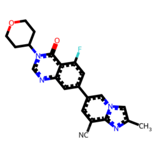 Cc1cn2cc(-c3cc(F)c4c(=O)n(C5CCOCC5)cnc4c3)cc(C#N)c2n1